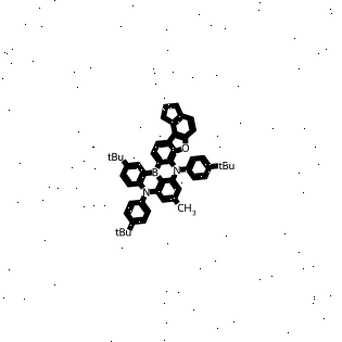 Cc1cc2c3c(c1)N(c1ccc(C(C)(C)C)cc1)c1c(ccc4c1oc1ccc5c(c14)CCC5)B3c1cc(C(C)(C)C)ccc1N2c1ccc(C(C)(C)C)cc1